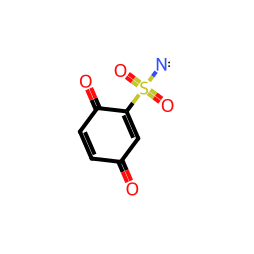 [N]S(=O)(=O)C1=CC(=O)C=CC1=O